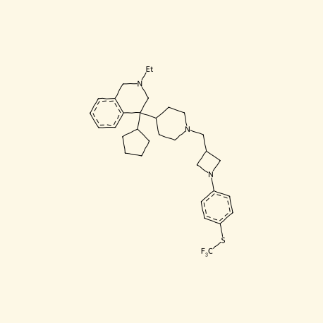 CCN1Cc2ccccc2C(C2CCCC2)(C2CCN(CC3CN(c4ccc(SC(F)(F)F)cc4)C3)CC2)C1